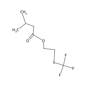 CC(C)CC(=O)OCCSC(F)(F)F